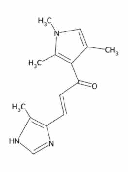 Cc1cn(C)c(C)c1C(=O)/C=C/c1nc[nH]c1C